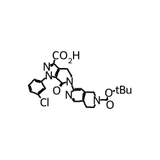 CC(C)(C)OC(=O)N1CCc2cnc(N3CCc4c(C(=O)O)nn(-c5cccc(Cl)c5)c4C3=O)cc2C1